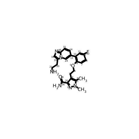 Cc1c(CCOc2ccc(F)cc2-c2ccc3ncc(CCN)n3c2)c(C(N)=O)nn1C